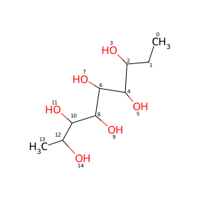 CCC(O)C(O)C(O)C(O)C(O)C(C)O